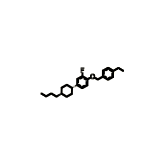 CCCC[C@H]1CC[C@H](c2ccc(OCc3ccc(CC)cc3)c(F)c2)CC1